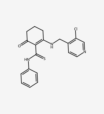 O=C1CCCC(NCc2ccncc2Cl)=C1C(=S)Nc1ccccc1